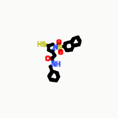 O=C(CC1CC(S)CN1S(=O)(=O)c1ccc2ccccc2c1)NCc1ccccc1